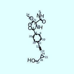 CNC(=O)C(NC(=O)c1ccc(C#C[C@@H]2C[C@H]2CO)cc1)C(=O)OC